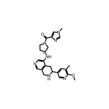 COc1ncc(C2Cc3c(cncc3N[C@H]3CCN(C(=O)c4cn(C)cn4)C3)CN2)cc1C